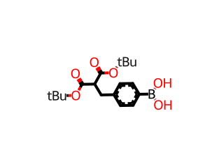 CC(C)(C)OC(=O)C(Cc1ccc(B(O)O)cc1)C(=O)OC(C)(C)C